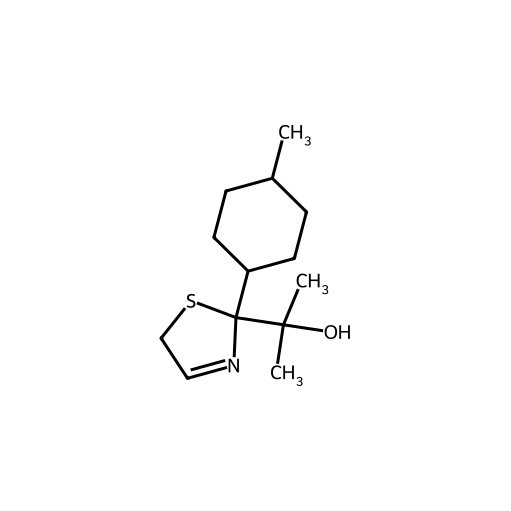 CC1CCC(C2(C(C)(C)O)N=CCS2)CC1